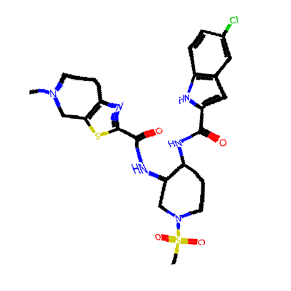 CN1CCc2nc(C(=O)NC3CN(S(C)(=O)=O)CCC3NC(=O)c3cc4cc(Cl)ccc4[nH]3)sc2C1